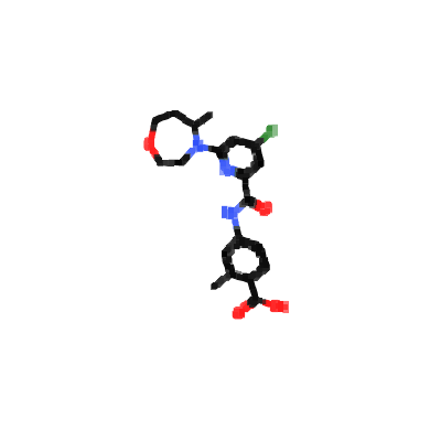 Cc1cc(NC(=O)c2cc(Cl)cc(N3CCOCCC3C)n2)ccc1C(=O)O